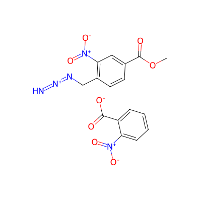 COC(=O)c1ccc(CN=[N+]=N)c([N+](=O)[O-])c1.O=C([O-])c1ccccc1[N+](=O)[O-]